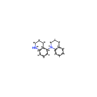 c1ccc2c(c1)CCCN2c1cccc2c1CCCN2